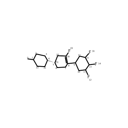 CC1CCC([C@H]2CCC(C3CC(F)C(F)C(F)C3)=C(F)C2)CC1